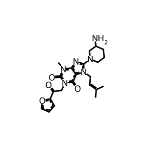 CC(C)=CCn1c(N2CCCC(N)C2)nc2c1c(=O)n(CC(=O)c1ccco1)c(=O)n2C